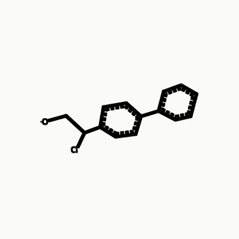 [O]CC(Cl)c1ccc(-c2ccccc2)cc1